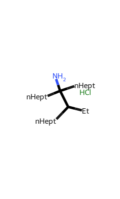 CCCCCCCC(CC)C(N)(CCCCCCC)CCCCCCC.Cl